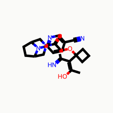 CC(=N)/C(=C(/C)O)C1(OCC(=O)N2CC3CCC(C2)N3c2ccc(C#N)cn2)CCC1